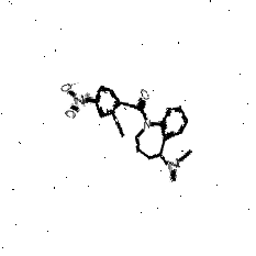 Cc1cc([N+](=O)[O-])ccc1C(=O)N1CCCC(N(C)C)c2ccccc21